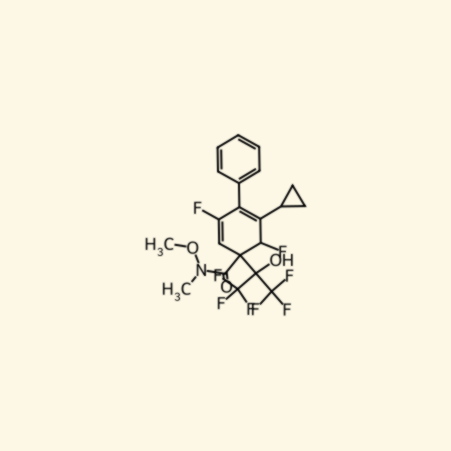 CON(C)C(=O)C1(C(O)(C(F)(F)F)C(F)(F)F)C=C(F)C(c2ccccc2)=C(C2CC2)C1F